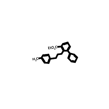 CCOC(=O)c1cccc(-c2ccccc2)c1CCCc1ccc(C)cc1